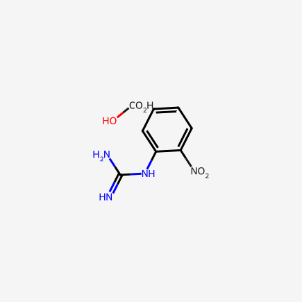 N=C(N)Nc1ccccc1[N+](=O)[O-].O=C(O)O